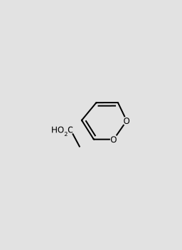 C1=COOC=C1.CC(=O)O